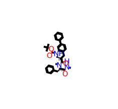 CNC(=O)[C@@H](Cc1ccccc1)N(C)C(=O)[C@@H](CNC(=O)OC(C)(C)C)Cc1ccc(-c2ccccc2)cc1